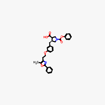 Cc1oc(-c2ccccc2)nc1CCOc1cccc(C[C@@H]2CN(C(=O)Oc3ccccc3)CC2C(=O)O)c1